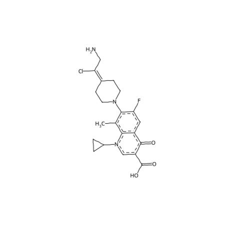 Cc1c(N2CCC(=C(Cl)CN)CC2)c(F)cc2c(=O)c(C(=O)O)cn(C3CC3)c12